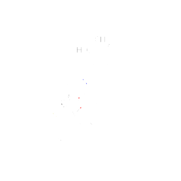 CC1(C)c2ccccc2-c2ccc(N(c3ccc4c(c3)C3(c5ccccc5Sc5ccccc53)c3ccc5ccccc5c3-4)c3ccccc3-c3ccccc3)cc21